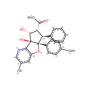 COC(=O)[C@H]1[C@@H](O)[C@@]2(O)c3ncc(C#N)cc3O[C@@]2(c2ccc(OC)cc2)[C@@H]1c1ccccc1